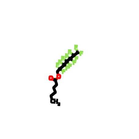 CCCCCC(=O)OCC(F)(F)C(F)(F)C(F)(F)C(F)(F)C(F)(F)C(F)F